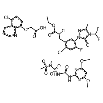 CCOC(=O)C(Cl)Cc1cc(-n2nc(C)n(C(F)F)c2=O)c(F)cc1Cl.COc1cc(OC)nc(NC(=O)NS(=O)(=O)N(C)S(C)(=O)=O)n1.O=C(O)COc1ccc(Cl)c2cccnc12